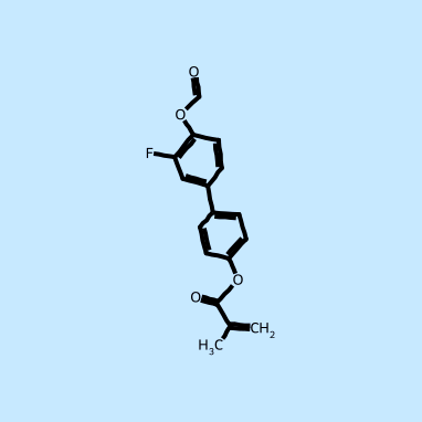 C=C(C)C(=O)Oc1ccc(-c2ccc(OC=O)c(F)c2)cc1